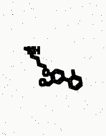 CNCCCCOc1ccc(-c2ccccc2C)cc1C=O